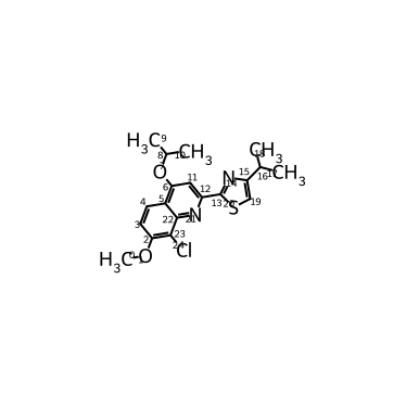 COc1ccc2c(OC(C)C)cc(-c3nc(C(C)C)cs3)nc2c1Cl